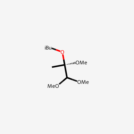 CCC(C)O[C@@](C)(OC)C(OC)OC